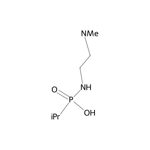 CNCCNP(=O)(O)C(C)C